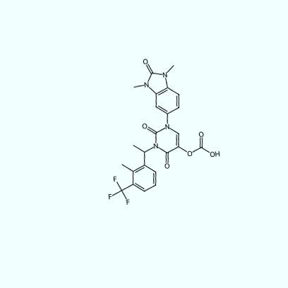 Cc1c(C(C)n2c(=O)c(OC(=O)O)cn(-c3ccc4c(c3)n(C)c(=O)n4C)c2=O)cccc1C(F)(F)F